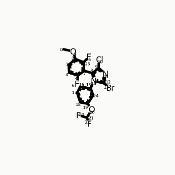 COc1ccc(F)c(-c2c(Cl)nc(Br)n2-c2cccc(OC(F)F)c2)c1F